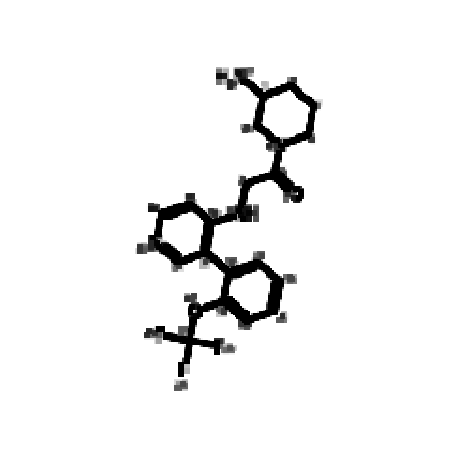 NC1CCCN(C(=O)CNc2ccncc2-c2ccccc2OC(F)(F)F)C1